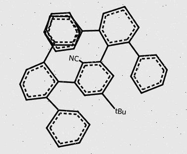 CC(C)(C)c1cc(-c2c(-c3ccccc3)cccc2-c2ccccc2)c(C#N)c(-c2c(-c3ccccc3)cccc2-c2ccccc2)c1